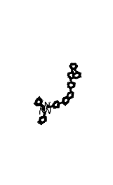 c1ccc(-c2nc(-c3ccccc3)nc(-c3ccc(-c4ccc5ccc(-c6ccc(-c7ccc8c9c(cccc79)-c7ccccc7-8)cc6)cc5c4)cc3)n2)cc1